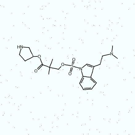 CN(C)CCc1cn(S(=O)(=O)OCC(C)(C)C(=O)OC2CCNC2)c2ccccc12